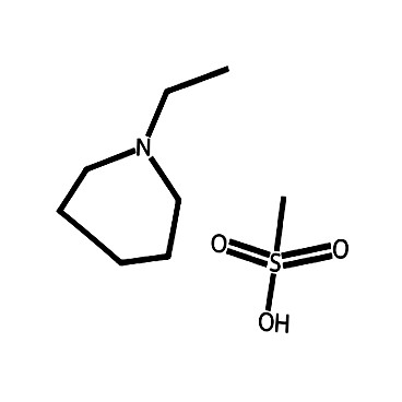 CCN1CCCCC1.CS(=O)(=O)O